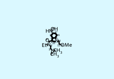 CCN(CCN(C)C)C(=O)c1cn(CCOC)c2ccc(NO)cc12